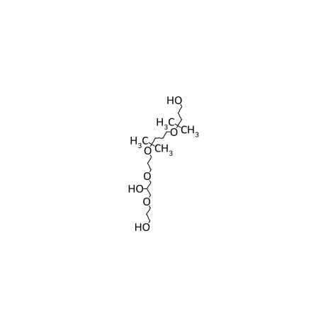 CC(C)(CCCO)OCCCC(C)(C)OCCCOCC(O)COCCCO